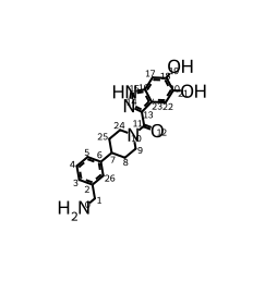 NCc1cccc(C2CCN(C(=O)c3n[nH]c4cc(O)c(O)cc34)CC2)c1